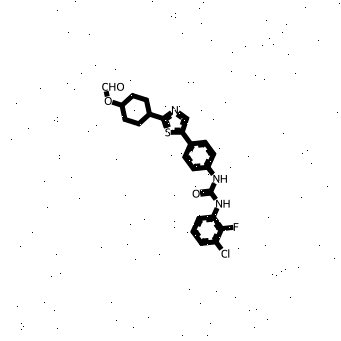 O=COC1CCC(c2ncc(-c3ccc(NC(=O)Nc4cccc(Cl)c4F)cc3)s2)CC1